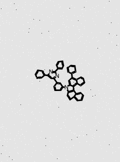 c1ccc(-c2cc(-c3cccc(-n4c5ccc6ccccc6c5c5c6ccccc6c(-c6ccccc6)cc54)c3)nc(-c3ccccc3)n2)cc1